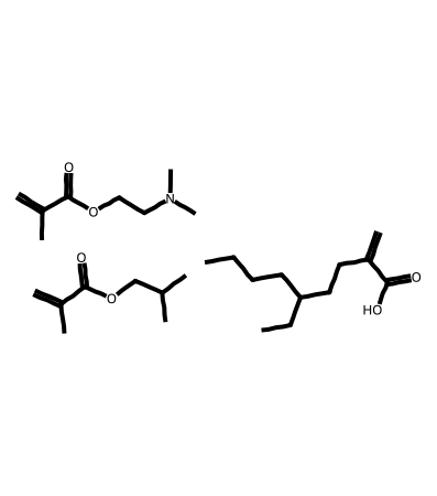 C=C(C)C(=O)OCC(C)C.C=C(C)C(=O)OCCN(C)C.C=C(CCC(CC)CCCC)C(=O)O